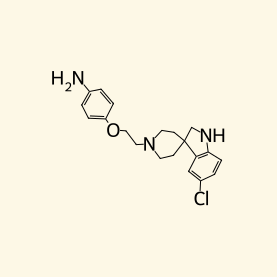 Nc1ccc(OCCN2CCC3(CC2)CNc2ccc(Cl)cc23)cc1